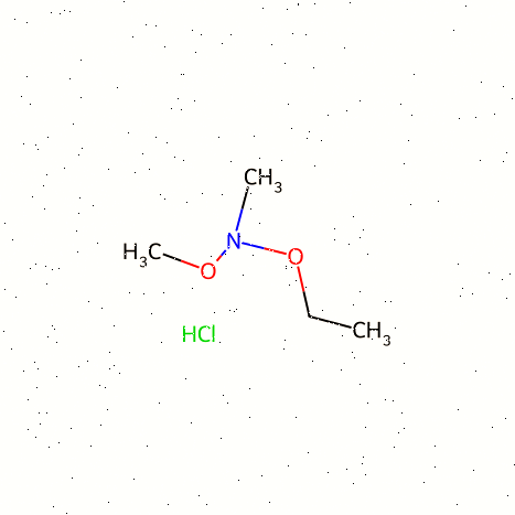 CCON(C)OC.Cl